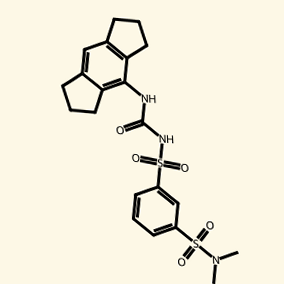 CN(C)S(=O)(=O)c1cccc(S(=O)(=O)NC(=O)Nc2c3c(cc4c2CCC4)CCC3)c1